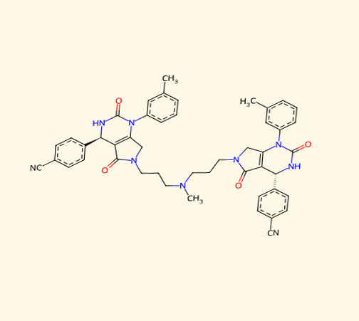 Cc1cccc(N2C(=O)N[C@H](c3ccc(C#N)cc3)C3=C2CN(CCCN(C)CCCN2CC4=C(C2=O)[C@@H](c2ccc(C#N)cc2)NC(=O)N4c2cccc(C)c2)C3=O)c1